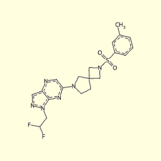 Cc1cccc(S(=O)(=O)N2CC3(CCN(c4cnc5cnn(CC(F)F)c5n4)C3)C2)c1